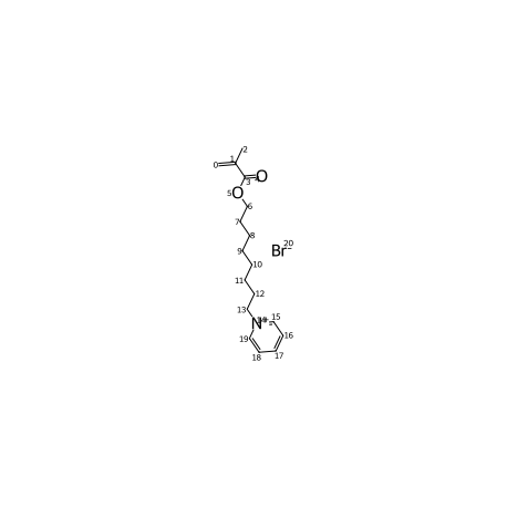 C=C(C)C(=O)OCCCCCCCC[n+]1ccccc1.[Br-]